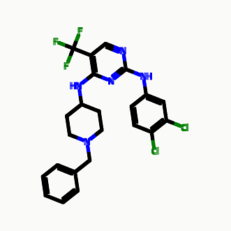 FC(F)(F)c1cnc(Nc2ccc(Cl)c(Cl)c2)nc1NC1CCN(Cc2ccccc2)CC1